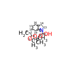 C=CC(=O)OC(C)(C)C.O=C(O)N1CCc2ccccc21